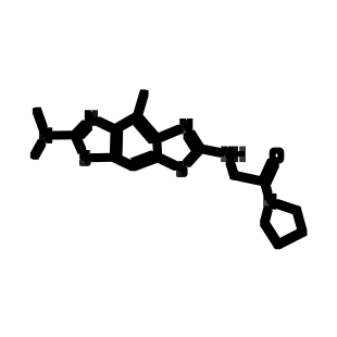 Cc1c2nc(NCC(=O)N3CCCC3)sc2cc2sc(N(C)C)nc12